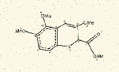 COC(=O)C1Sc2ccc(OC)c(OC)c2C=C1OC